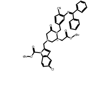 CC(C)(C)OC(=O)C[C@H]1CN(Cc2cc3cc(Cl)ccc3n2C(=O)OC(C)(C)C)CC(=O)N1Cc1ccc(C#N)c(N=C(c2ccccc2)c2ccccc2)c1